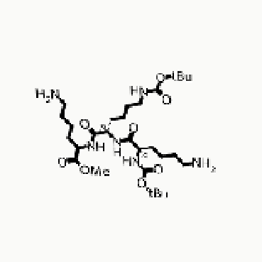 COC(=O)C(CCCCN)NC(=O)[C@H](CCCCNC(=O)OC(C)(C)C)NC(=O)[C@@H](CCCCN)NC(=O)OC(C)(C)C